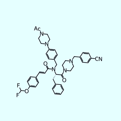 CC(=O)N1CCN(c2ccc(CN(C(=O)/C=C/c3ccc(OC(F)F)cc3)[C@@H](Cc3ccccc3)C(=O)N3CCN(Cc4ccc(C#N)cc4)CC3)cc2)CC1